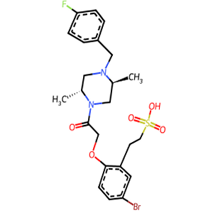 C[C@@H]1CN(Cc2ccc(F)cc2)[C@@H](C)CN1C(=O)COc1ccc(Br)cc1CCS(=O)(=O)O